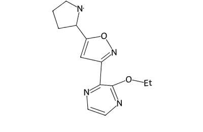 CCOc1nccnc1-c1cc(C2CCC[N]2)on1